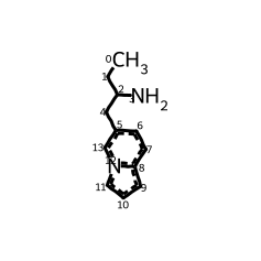 CCC(N)Cc1ccc2cccn2c1